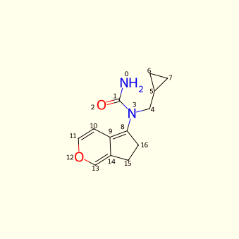 NC(=O)N(CC1CC1)C1=C2C=COC=C2CC1